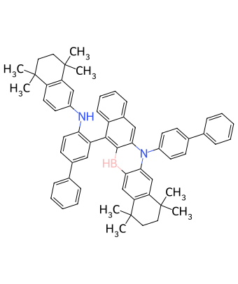 CC1(C)CCC(C)(C)c2cc(Nc3ccc(-c4ccccc4)cc3-c3c4c(cc5ccccc35)N(c3ccc(-c5ccccc5)cc3)c3cc5c(cc3B4)C(C)(C)CCC5(C)C)ccc21